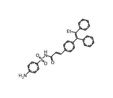 CCC(=C(c1ccccc1)c1ccc(C=CC(=O)NS(=O)(=O)c2ccc(N)cc2)cc1)c1ccccc1